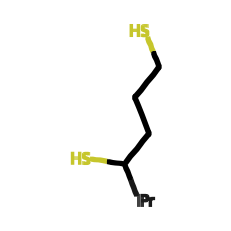 CC(C)C(S)CCCS